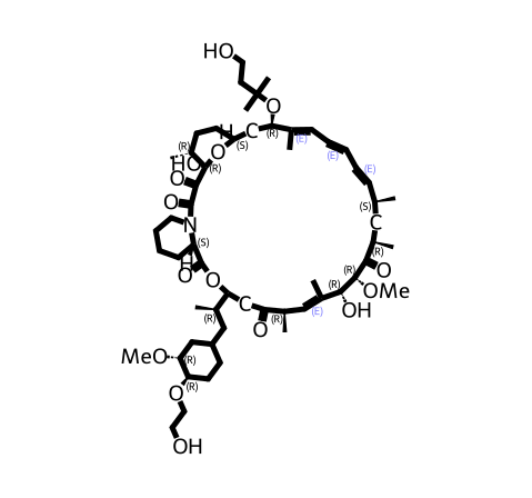 CO[C@@H]1CC(C[C@@H](C)C2CC(=O)[C@H](C)/C=C(\C)[C@@H](O)[C@@H](OC)C(=O)[C@H](C)C[C@H](C)/C=C/C=C/C=C(\C)[C@H](OC(C)(C)CCO)C[C@@H]3CC[C@@H](C)[C@@](O)(O3)C(=O)C(=O)N3CCCC[C@H]3C(=O)O2)CC[C@H]1OCCO